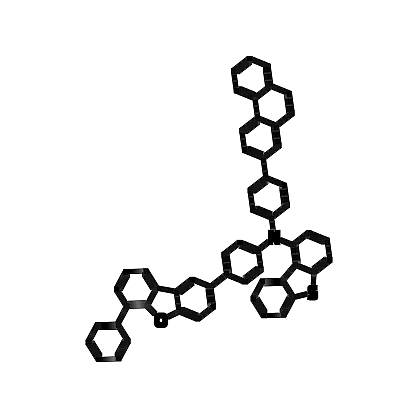 c1ccc(-c2cccc3c2oc2ccc(-c4ccc(N(c5ccc(-c6ccc7c(ccc8ccccc87)c6)cc5)c5cccc6sc7ccccc7c56)cc4)cc23)cc1